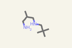 CC(CN)CNCC(C)(C)C